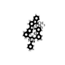 CC1(C)c2ccccc2-c2ccc3c4ccccc4n(-c4cccc5c4oc4c(-c6cc(-c7ccccc7)nc(-c7ccccc7)n6)cccc45)c3c21